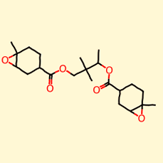 CC(OC(=O)C1CCC2(C)OC2C1)C(C)(C)COC(=O)C1CCC2(C)OC2C1